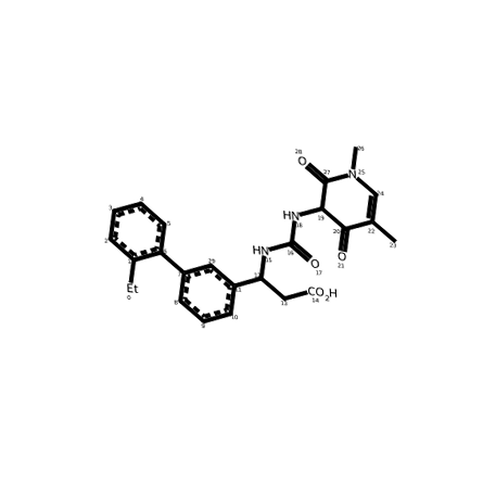 CCc1ccccc1-c1cccc(C(CC(=O)O)NC(=O)NC2C(=O)C(C)=CN(C)C2=O)c1